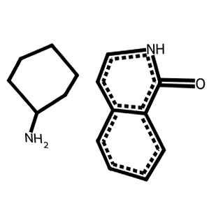 NC1CCCCC1.O=c1[nH]ccc2ccccc12